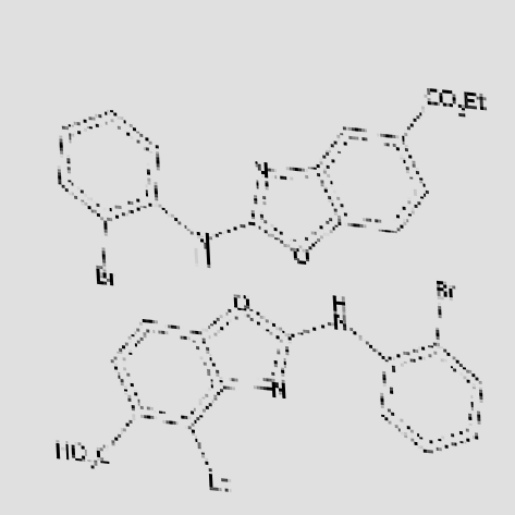 CCOC(=O)c1ccc2oc(Nc3ccccc3Br)nc2c1.CCc1c(C(=O)O)ccc2oc(Nc3ccccc3Br)nc12